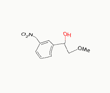 COCC(O)c1cccc([N+](=O)[O-])c1